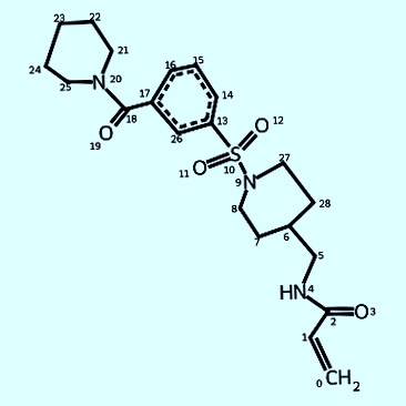 C=CC(=O)NCC1CCN(S(=O)(=O)c2cccc(C(=O)N3CCCCC3)c2)CC1